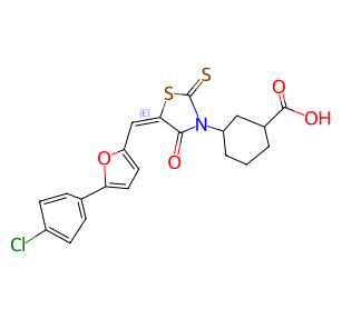 O=C(O)C1CCCC(N2C(=O)/C(=C\c3ccc(-c4ccc(Cl)cc4)o3)SC2=S)C1